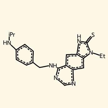 CCn1c(=S)[nH]c2cc3c(NCc4ccc(NC(C)C)cc4)ncnc3cc21